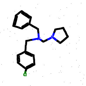 Clc1ccc(CN(Cc2ccccc2)CN2CCCC2)cc1